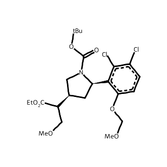 CCOC(=O)C(COC)[C@@H]1C[C@H](c2c(OCOC)ccc(Cl)c2Cl)N(C(=O)OC(C)(C)C)C1